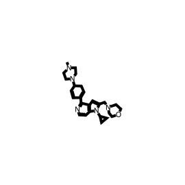 CN1CCN(C2C=CC(c3nccc4c3cc(CN3CCOCC3)n4C3CC3)=CC2)CC1